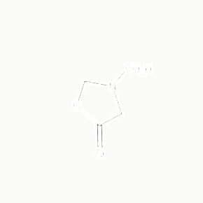 O=C1CN(C(=O)O)CO1